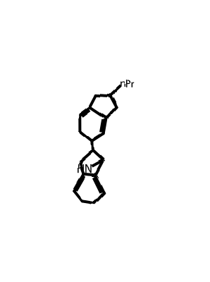 CCCC1CC2=CCC(C3C4NC3C3=CCCC=C34)C=C2C1